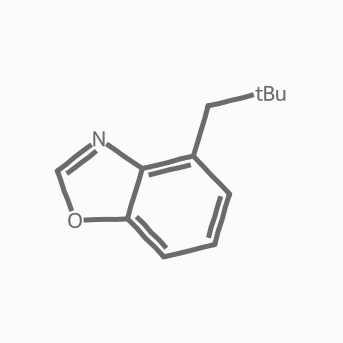 CC(C)(C)Cc1cccc2ocnc12